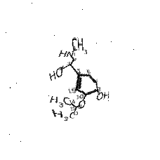 CNCC(O)c1ccc(O)c(OC(C)C)c1